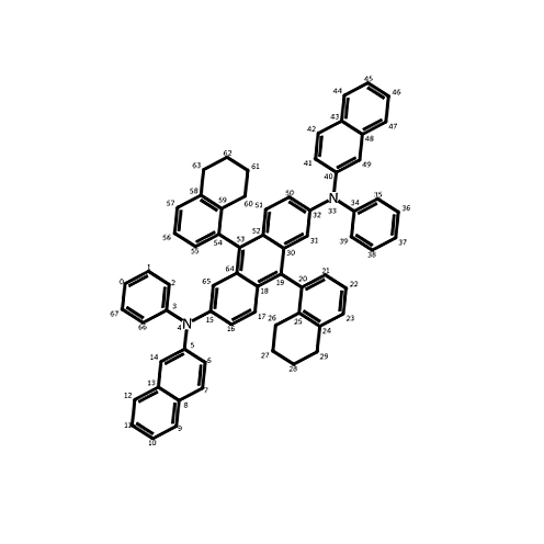 c1ccc(N(c2ccc3ccccc3c2)c2ccc3c(-c4cccc5c4CCCC5)c4cc(N(c5ccccc5)c5ccc6ccccc6c5)ccc4c(-c4cccc5c4CCCC5)c3c2)cc1